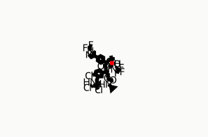 CC(C)(C)CC1(c2ccc(-c3cnn(C(F)F)c3)cc2)NC(=NC(=O)C(F)(F)F)N(C(COC(=O)NC2CC2)c2ccc(Cl)c(-c3nc(Cl)c(Cl)[nH]3)c2)C1=O